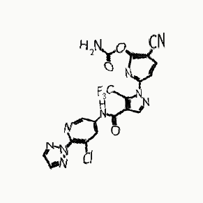 N#Cc1ccc(-n2ncc(C(=O)Nc3cnc(-n4nccn4)c(Cl)c3)c2C(F)(F)F)nc1OC(N)=O